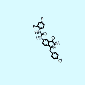 O=C(Nc1ccc2c(Cc3ccc(Cl)cc3)n[nH]c(=O)c2c1)Nc1ccc(F)cc1F